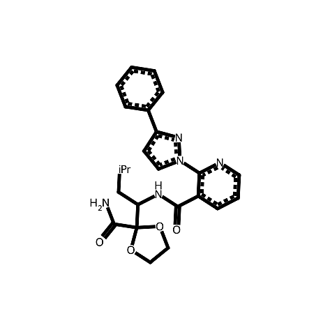 CC(C)CC(NC(=O)c1cccnc1-n1ccc(-c2ccccc2)n1)C1(C(N)=O)OCCO1